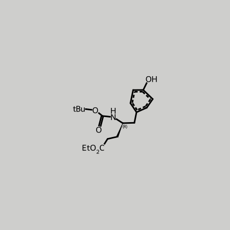 CCOC(=O)CC[C@H](Cc1ccc(O)cc1)NC(=O)OC(C)(C)C